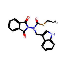 CCSC(=O)N(Cc1c[nH]c2ccccc12)N1C(=O)c2ccccc2C1=O